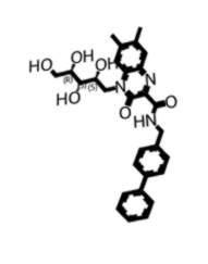 Cc1cc2nc(C(=O)NCc3ccc(-c4ccccc4)cc3)c(=O)n(C[C@H](O)[C@H](O)[C@H](O)CO)c2cc1C